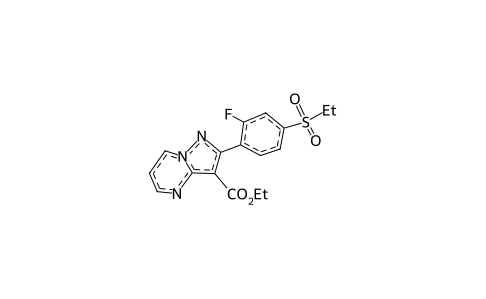 CCOC(=O)c1c(-c2ccc(S(=O)(=O)CC)cc2F)nn2cccnc12